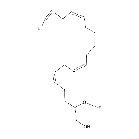 CC/C=C\C/C=C\C/C=C\C/C=C\C/C=C\CCC(CO)OCC